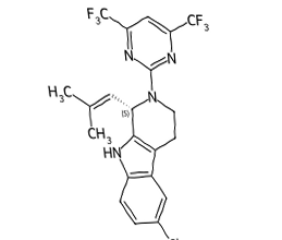 CC(C)=C[C@H]1c2[nH]c3ccc(Cl)cc3c2CCN1c1nc(C(F)(F)F)cc(C(F)(F)F)n1